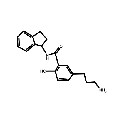 NCCCc1ccc(O)c(C(=O)NC2CCc3ccccc32)c1